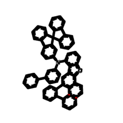 c1ccc(-c2cccc(N(c3ccc4c(c3)C3(c5ccccc5-c5ccccc53)c3ccccc3-4)c3cccc4oc5c6ccccc6c(-c6ccccc6-c6ccccc6)cc5c34)c2)cc1